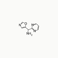 NC(c1ncccn1)c1cnco1